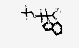 CC(F)(F)COC(F)(F)C(F)(C(F)C(F)(F)F)n1ccc2ccccc21